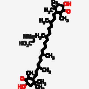 CC1=C(/C=C/C(C)=C/C=C/C(C)=C/C=C/C=C(C)/C=C/C=C(C)/C=C/C2=C(C)C(=O)C(O)CC2(C)C)C(C)(C)CC(O)C1=O.CNCC(=O)O